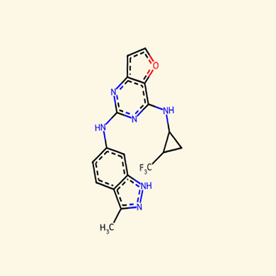 Cc1n[nH]c2cc(Nc3nc(NC4CC4C(F)(F)F)c4occc4n3)ccc12